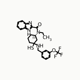 CCN(C(=O)c1nc2ccccc2[nH]1)[C@H]1CCCC(S)(NCc2cccc(OC(F)(F)F)c2)C1